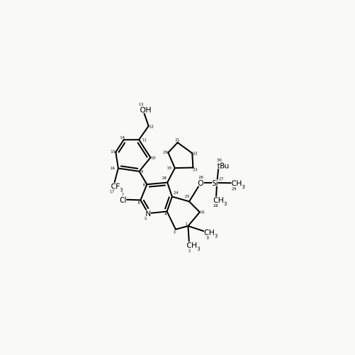 CC1(C)Cc2nc(Cl)c(-c3cc(CO)ccc3C(F)(F)F)c(C3CCCC3)c2C(O[Si](C)(C)C(C)(C)C)C1